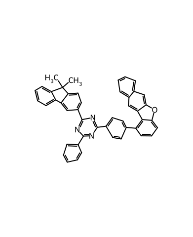 CC1(C)c2ccccc2-c2cc(-c3nc(-c4ccccc4)nc(-c4ccc(-c5cccc6oc7cc8ccccc8cc7c56)cc4)n3)ccc21